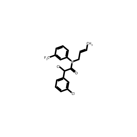 C/C=C/CN(C(=O)C(Cl)c1cccc(Cl)c1)c1cccc(C(F)(F)F)c1